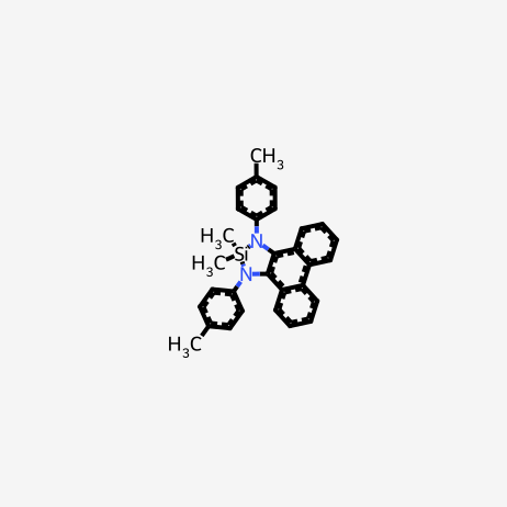 Cc1ccc(N2c3c(c4ccccc4c4ccccc34)N(c3ccc(C)cc3)[Si]2(C)C)cc1